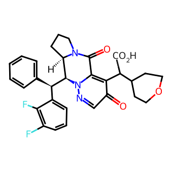 O=C(O)C(c1c2n(ncc1=O)[C@@H]([C@H](c1ccccc1)c1cccc(F)c1F)[C@H]1CCCN1C2=O)C1CCOCC1